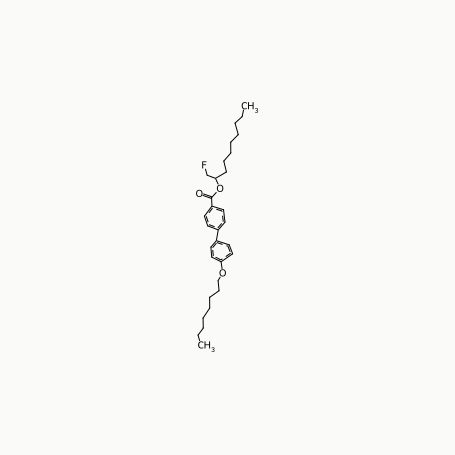 CCCCCCCCOc1ccc(-c2ccc(C(=O)OC(CF)CCCCCCCC)cc2)cc1